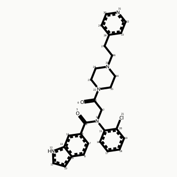 O=C(CN(C(=O)c1ccc2cc[nH]c2c1)c1ccccc1Cl)N1CCN(CCc2ccncc2)CC1